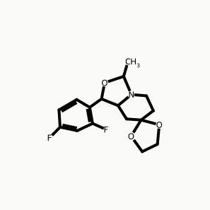 CC1OC(c2ccc(F)cc2F)C2CC3(CCN12)OCCO3